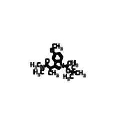 COc1ccc2c(c1)c(C(C)C(=O)N(C)C)cn2C(=O)OC(C)(C)C